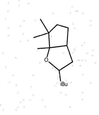 CCC(C)C1CC2CCC(C)(C)C2(C)O1